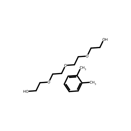 Cc1ccccc1C.OCCOCCOCCOCCO